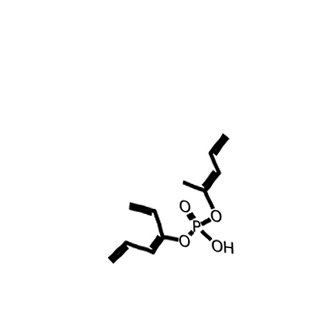 C=C/C=C(\C)OP(=O)(O)O/C(C=C)=C/C=C